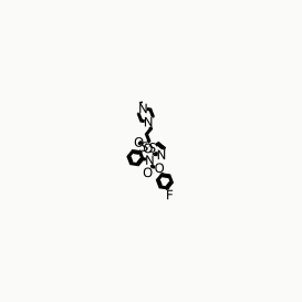 CN1CCN(CCCS(=O)(=O)c2ccccc2N(C(=O)Oc2ccc(F)cc2)c2nccs2)CC1